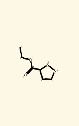 CCOC(=O)C1CCSS1